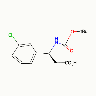 CC(C)(C)OC(=O)N[C@@H](CC(=O)O)c1cccc(Cl)c1